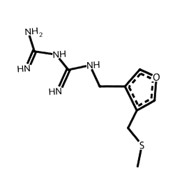 CSCc1cocc1CNC(=N)NC(=N)N